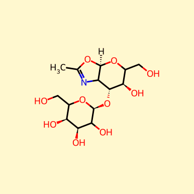 CC1=NC2[C@@H](O1)OC(CO)[C@@H](O)[C@@H]2O[C@@H]1OC(CO)[C@H](O)[C@H](O)C1O